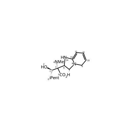 CCC[C@@H](C)[C@@H](O)[C@](NC)(C(=O)O)C1CN2CC=CC=C2N1